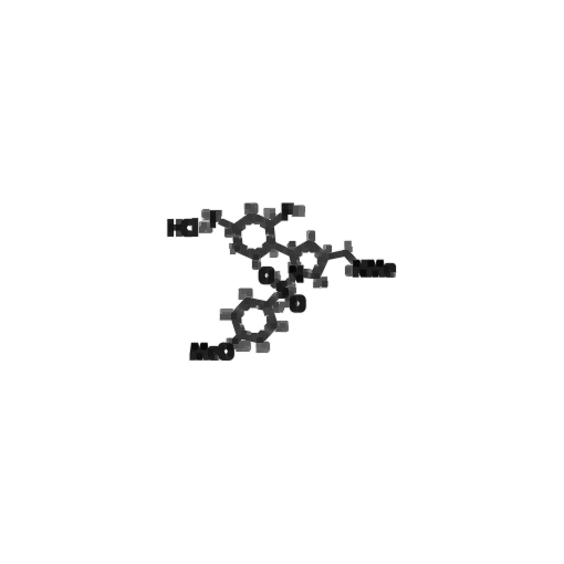 CNCc1cc(-c2ccc(F)cc2F)n(S(=O)(=O)c2ccc(OC)cc2)c1.Cl